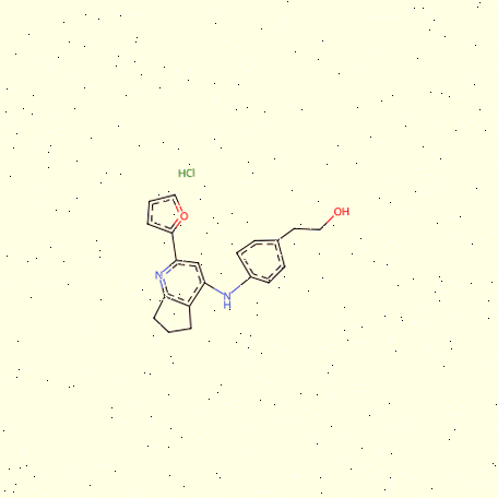 Cl.OCCc1ccc(Nc2cc(-c3ccco3)nc3c2CCC3)cc1